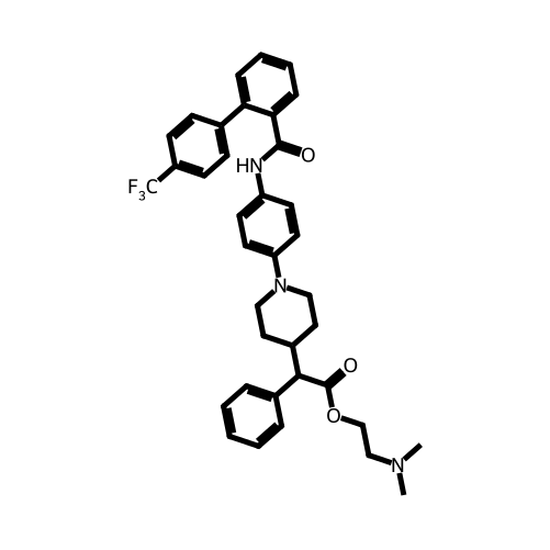 CN(C)CCOC(=O)C(c1ccccc1)C1CCN(c2ccc(NC(=O)c3ccccc3-c3ccc(C(F)(F)F)cc3)cc2)CC1